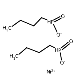 CCCC[PH](=O)[O-].CCCC[PH](=O)[O-].[Ni+2]